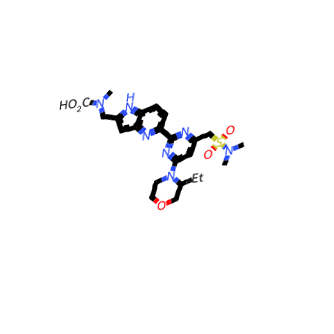 CCC1COCCN1c1cc(CS(=O)(=O)N(C)C)nc(-c2ccc3[nH]c(CN(C)C(=O)O)cc3n2)n1